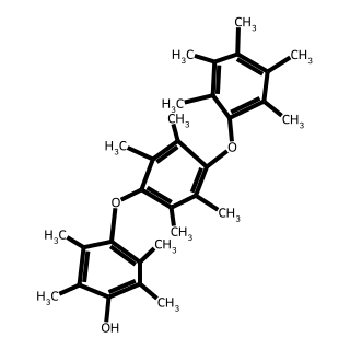 Cc1c(C)c(C)c(Oc2c(C)c(C)c(Oc3c(C)c(C)c(O)c(C)c3C)c(C)c2C)c(C)c1C